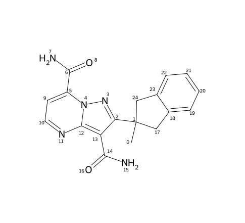 CC1(c2nn3c(C(N)=O)ccnc3c2C(N)=O)Cc2ccccc2C1